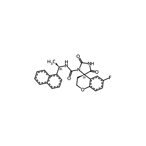 C[C@@H](NC(=O)N1C(=O)NC(=O)[C@@]12CCOc1ccc(F)cc12)c1cccc2ccccc12